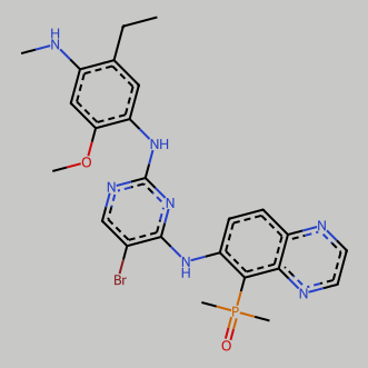 CCc1cc(Nc2ncc(Br)c(Nc3ccc4nccnc4c3P(C)(C)=O)n2)c(OC)cc1NC